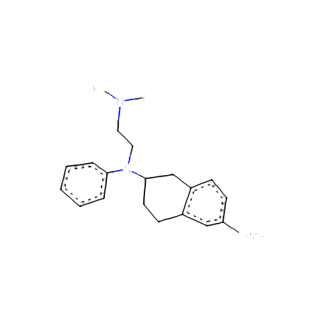 CCN(CC)CCN(c1ccccc1)C1CCc2cc(OC)ccc2C1